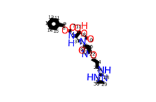 O=CN(C[C@H](NC(=O)OCc1ccccc1)C(=O)O)c1cc(OCCCNC2N=CCN2)no1